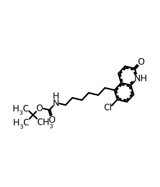 CC(C)(C)OC(=O)NCCCCCCc1c(Cl)ccc2[nH]c(=O)ccc12